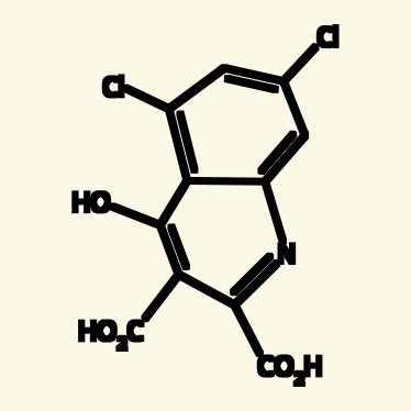 O=C(O)c1nc2cc(Cl)cc(Cl)c2c(O)c1C(=O)O